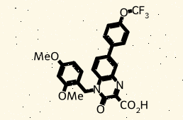 COc1ccc(Cn2c(=O)c(C(=O)O)nc3cc(-c4ccc(OC(F)(F)F)cc4)ccc32)c(OC)c1